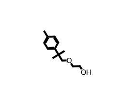 Cc1ccc(C(C)(C)COCCO)cc1